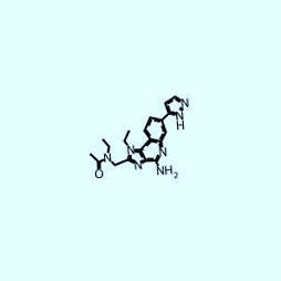 CCN(Cc1nc2c(N)nc3cc(-c4ccn[nH]4)ccc3c2n1CC)C(C)=O